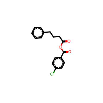 O=C(CCCc1ccccc1)OC(=O)c1ccc(Cl)cc1